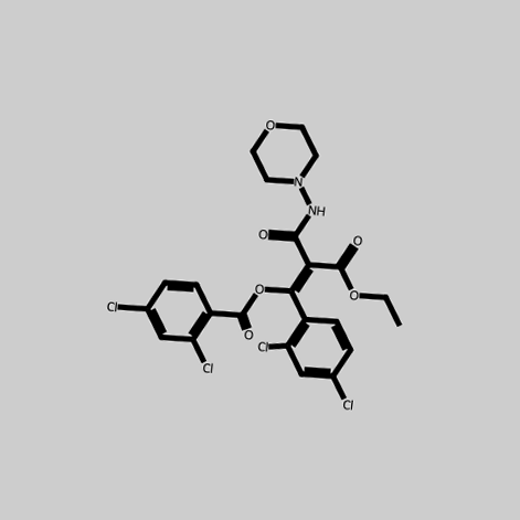 CCOC(=O)C(C(=O)NN1CCOCC1)=C(OC(=O)c1ccc(Cl)cc1Cl)c1ccc(Cl)cc1Cl